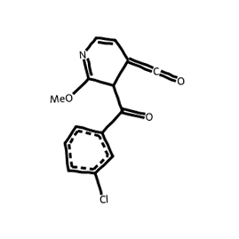 COC1=NC=CC(=C=O)C1C(=O)c1cccc(Cl)c1